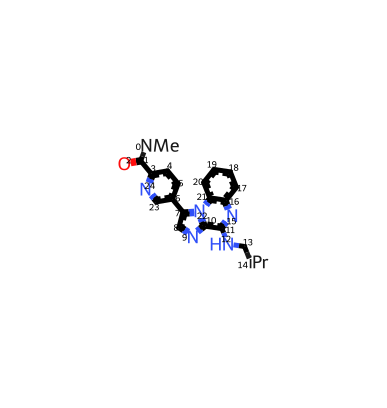 CNC(=O)c1ccc(-c2cnc3c(NCC(C)C)nc4ccccc4n23)cn1